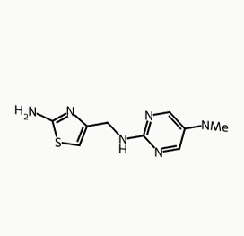 CNc1cnc(NCc2csc(N)n2)nc1